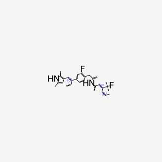 C=C/C(=C\c1cc(C)[nH]c1C)c1ccc(CC(=C)NC(=C)/C=C(\C=C/C)C(C)(C)F)c(F)c1